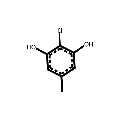 Cc1cc(O)c(Cl)c(O)c1